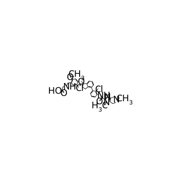 COc1cc(OC2CCc3c(-c4cccc(NC(=O)c5nc6c(n5C)CCN(C)C6)c4Cl)cccc32)c(Cl)cc1CNCC(=O)O